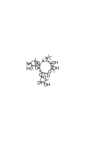 CC[C@H]1OC(=O)[C@H](C)[C@@H](O[C@H]2C[C@@](C)(OC)[C@@H](O)[C@H](C)O2)[C@H](C)[C@@H](O[C@@H]2O[C@H](C)C[C@H](N(C)C)[C@H]2O)[C@](C)(OC)C[C@@H](C)C(=NC(C)(C)C)[C@H](C)[C@@H](O)[C@]1(C)O